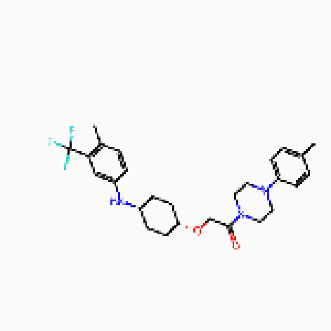 Cc1ccc(N2CCN(C(=O)CO[C@H]3CC[C@H](Nc4ccc(C)c(C(F)(F)F)c4)CC3)CC2)cc1